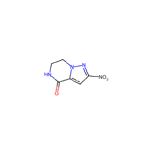 O=C1NCCn2nc([N+](=O)[O-])cc21